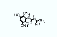 COc1c(O)cc(O)c(OC)c1NC(=O)NC(=N)N